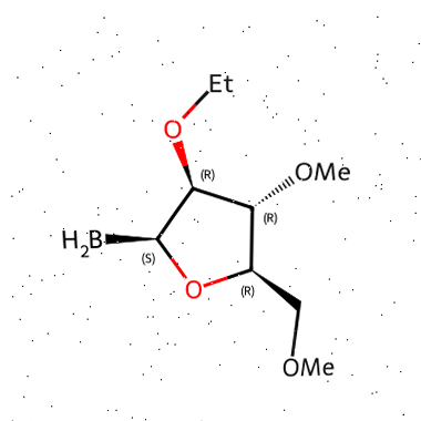 B[C@@H]1O[C@H](COC)[C@@H](OC)[C@@H]1OCC